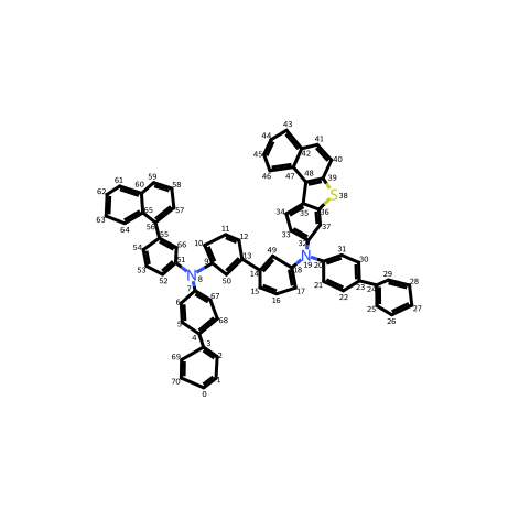 c1ccc(-c2ccc(N(c3cccc(-c4cccc(N(c5ccc(-c6ccccc6)cc5)c5ccc6c(c5)sc5ccc7ccccc7c56)c4)c3)c3cccc(-c4cccc5ccccc45)c3)cc2)cc1